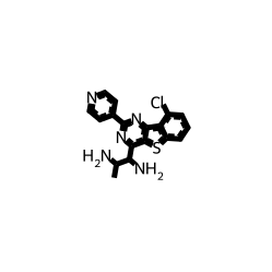 CC(N)C(N)c1nc(-c2ccncc2)nc2c1sc1cccc(Cl)c12